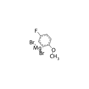 COc1[c]cc(F)cc1.[Br][Mg][Br]